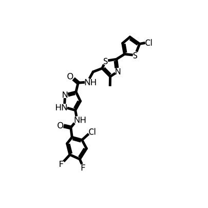 Cc1nc(-c2ccc(Cl)s2)sc1CNC(=O)c1cc(NC(=O)c2cc(F)c(F)cc2Cl)[nH]n1